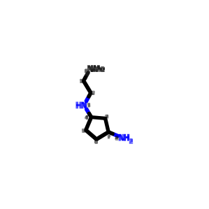 CNCCNC1CCC(N)C1